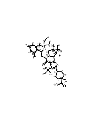 CC[Si](CC)(CC)OC(CN(C(=O)c1cnn(C2CCC(C)(C(=O)O)CC2)c1C(F)(F)F)C1C[C@@H]2[C@H](C1)C2(C)C)c1c(Cl)cc(C)cc1Cl